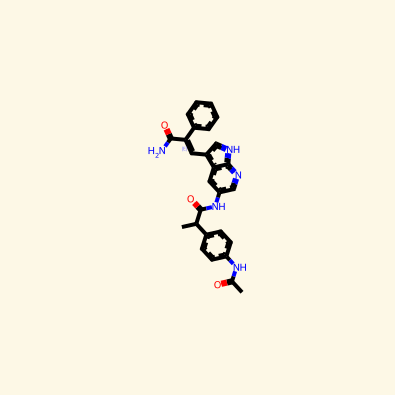 CC(=O)Nc1ccc(C(C)C(=O)Nc2cnc3[nH]cc(/C=C(/C(N)=O)c4ccccc4)c3c2)cc1